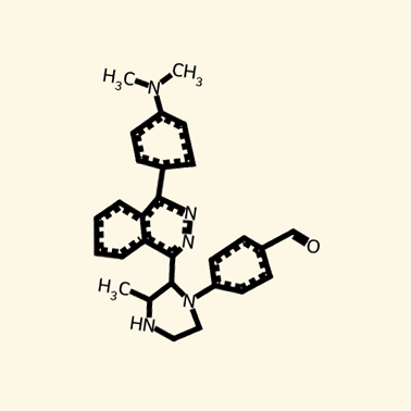 CC1NCCN(c2ccc(C=O)cc2)C1c1nnc(-c2ccc(N(C)C)cc2)c2ccccc12